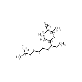 CCC(CCCCCC(C)C)[C@@H](N)S[C@H](C)C(C)C